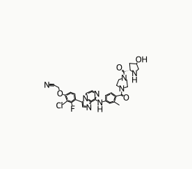 Cc1cc(Nc2nccn3c(-c4ccc(OCC#N)c(Cl)c4F)cnc23)ccc1C(=O)N1CCN(C(=O)[C@@H]2C[C@@H](O)CN2)CC1